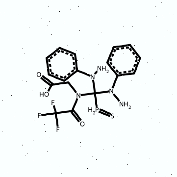 NN(c1ccccc1)C([PH2]=S)(N(CC(=O)O)C(=O)C(F)(F)F)N(N)c1ccccc1